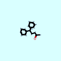 CC(=O)CCC(c1ccccc1)c1ccccc1